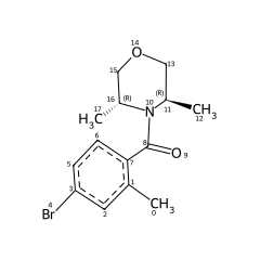 Cc1cc(Br)ccc1C(=O)N1[C@H](C)COC[C@H]1C